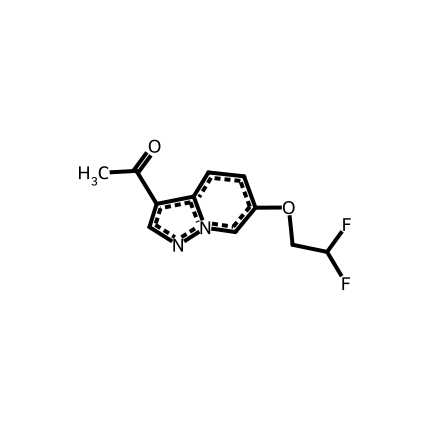 CC(=O)c1cnn2cc(OCC(F)F)ccc12